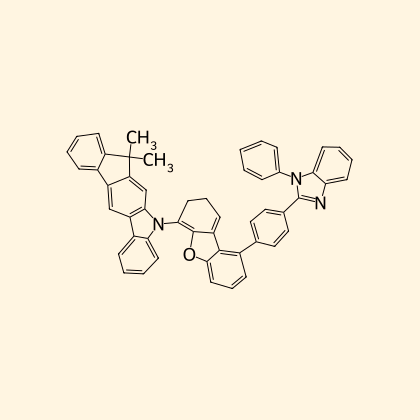 CC1(C)c2ccccc2-c2cc3c4ccccc4n(C4=c5oc6cccc(-c7ccc(-c8nc9ccccc9n8-c8ccccc8)cc7)c6c5=CCC4)c3cc21